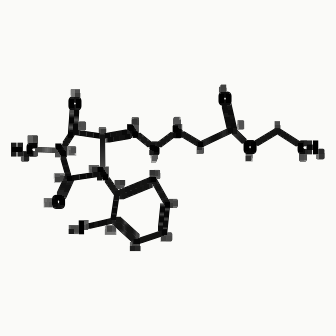 CCOC(=O)CSS/N=C1/C(=O)N(C)C(=O)N1c1ccccc1F